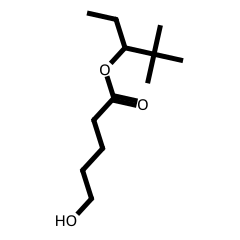 CCC(OC(=O)CCCCO)C(C)(C)C